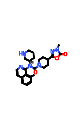 Cc1cccc2ccnc(N(C(=O)N3CCC(c4nn(C)c(=O)o4)CC3)[C@@H]3CCCNC3)c12